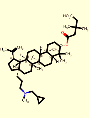 C=C(C)[C@@H]1CC[C@]2(CCCN(C)CC3CC3)CC[C@]3(C)[C@H](CC[C@@H]4[C@@]5(C)CC[C@H](OC(=O)CC(C)(C)CC(=O)O)C(C)(C)[C@@H]5CC[C@]43C)[C@@H]12